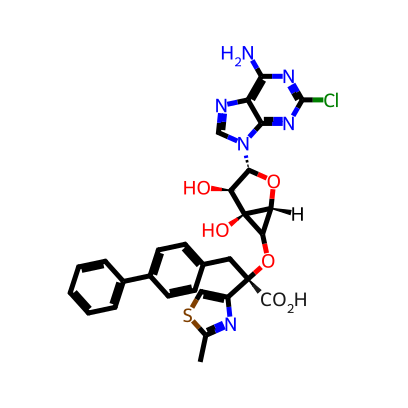 Cc1nc([C@](Cc2ccc(-c3ccccc3)cc2)(OC2[C@H]3O[C@@H](n4cnc5c(N)nc(Cl)nc54)[C@H](O)[C@@]23O)C(=O)O)cs1